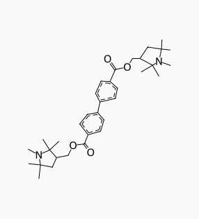 CN1C(C)(C)CC(COC(=O)c2ccc(-c3ccc(C(=O)OCC4CC(C)(C)N(C)C4(C)C)cc3)cc2)C1(C)C